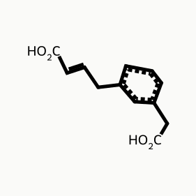 O=C(O)/C=C/Cc1cccc(CC(=O)O)c1